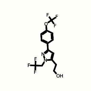 OCCc1cc(-c2ccc(OC(F)(F)F)cc2)nn1CC(F)(F)F